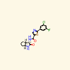 O=C(N[C@@H]1C(=O)N[C@@H]2CCC[C@H]12)c1cnc(-c2cc(F)cc(Cl)c2)s1